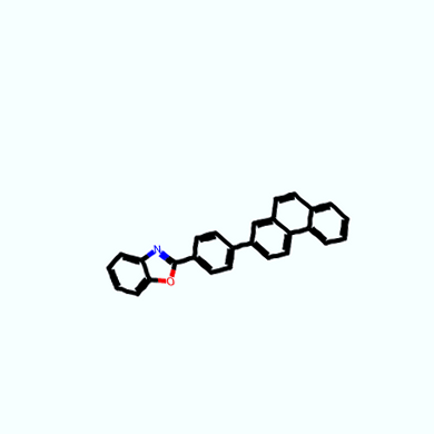 c1ccc2c(c1)ccc1cc(-c3ccc(-c4nc5ccccc5o4)cc3)ccc12